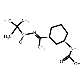 C/C(=N\[S@@+]([O-])C(C)(C)C)[C@H]1CCC[C@@H](NC(=O)O)C1